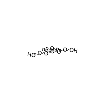 CCCCOCCC.OCCOCCOCCOCCOCCOCCO